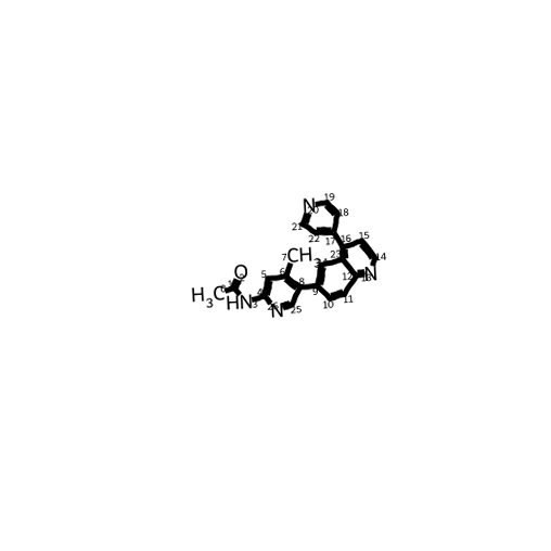 CC(=O)Nc1cc(C)c(-c2ccc3nccc(-c4ccncc4)c3c2)cn1